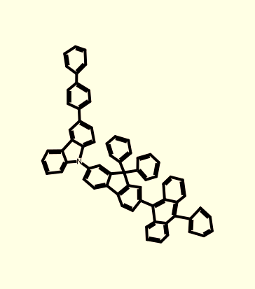 c1ccc(-c2ccc(-c3ccc4c(c3)c3ccccc3n4-c3ccc4c(c3)C(c3ccccc3)(c3ccccc3)c3cc(-c5c6ccccc6c(-c6ccccc6)c6ccccc56)ccc3-4)cc2)cc1